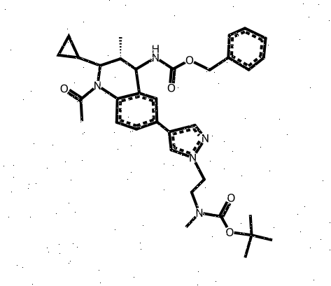 CC(=O)N1c2ccc(-c3cnn(CCN(C)C(=O)OC(C)(C)C)c3)cc2C(NC(=O)OCc2ccccc2)[C@@H](C)C1C1CC1